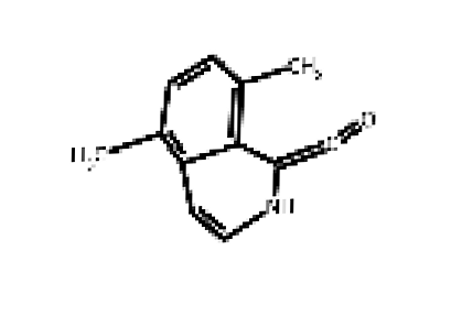 Cc1ccc(C)c2c1C=CNC2=C=O